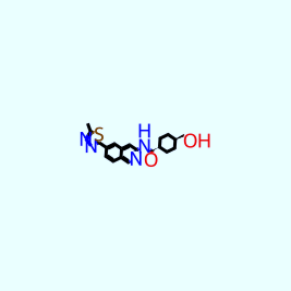 Cc1nnc(-c2ccc3cnc(NC(=O)[C@H]4CC[C@H](CO)CC4)cc3c2)s1